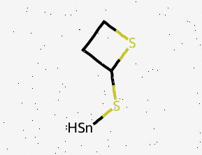 [SnH][S]C1CCS1